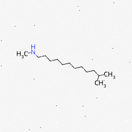 CNCCCCCCCCCCC(C)C